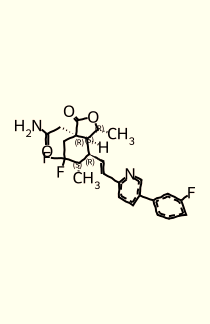 C[C@H]1OC(=O)[C@]2(CC(N)=O)CC(F)(F)[C@@H](C)[C@H](C=Cc3ccc(-c4cccc(F)c4)cn3)[C@H]12